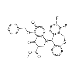 COC(=O)C1CN(C2c3ccccc3SCc3c2ccc(F)c3F)n2ccc(=O)c(OCc3ccccc3)c2C1=O